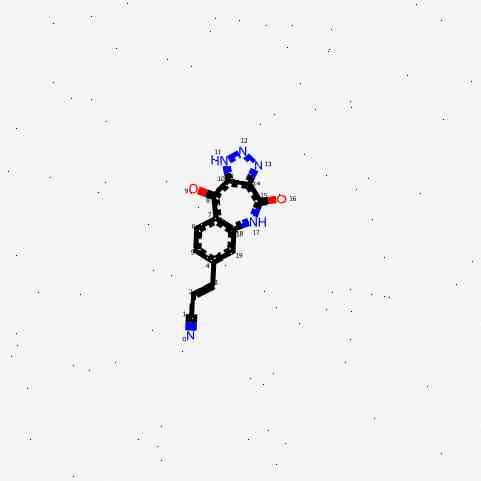 N#CC=Cc1ccc2c(=O)c3[nH]nnc3c(=O)[nH]c2c1